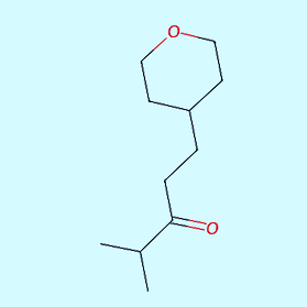 CC(C)C(=O)CCC1CCOCC1